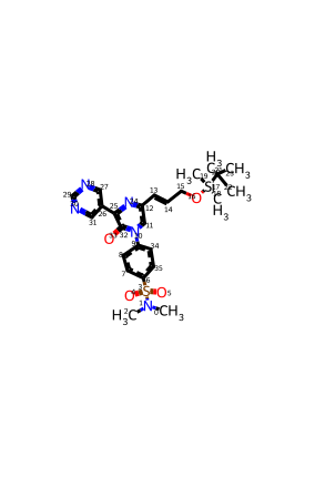 CN(C)S(=O)(=O)c1ccc(-n2cc(C=CCO[Si](C)(C)C(C)(C)C)nc(-c3cncnc3)c2=O)cc1